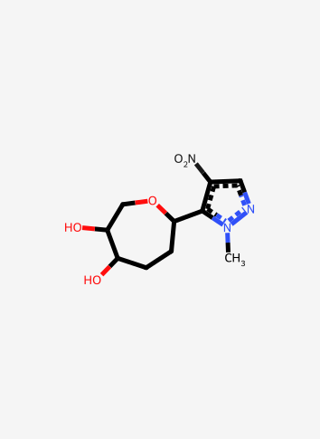 Cn1ncc([N+](=O)[O-])c1C1CCC(O)C(O)CO1